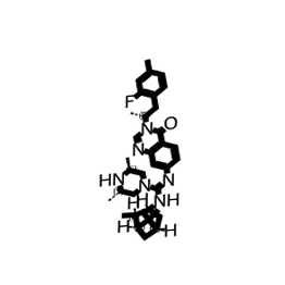 Cc1ccc(C[C@@H](C)n2cnc3cc(N=C(N[C@H]4C[C@@H]5C[C@@H]([C@H]4C)C5(C)C)N4C[C@H](C)N[C@@H](C)C4)ccc3c2=O)c(F)c1